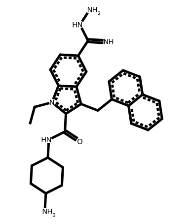 CCn1c(C(=O)NC2CCC(N)CC2)c(Cc2cccc3ccccc23)c2cc(C(=N)NN)ccc21